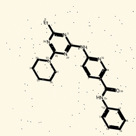 CCc1nc(Nc2ccc(C(=O)Nc3ccccc3)cn2)nc(N2CCCCC2)n1